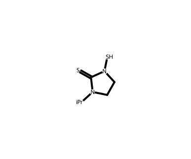 CC(C)N1CCN(S)C1=S